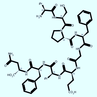 CC(C)[C@H](N)C(=O)N[C@@H](CO)C(=O)N1CCC[C@H]1C(=O)N[C@@H](Cc1ccccc1)C(=O)NCC(=O)N[C@@H](CCC(=O)O)C(=O)N[C@H](C(=O)N[C@@H](Cc1ccccc1)C(=O)N[C@@H](CC(N)=O)C(=O)O)C(C)C